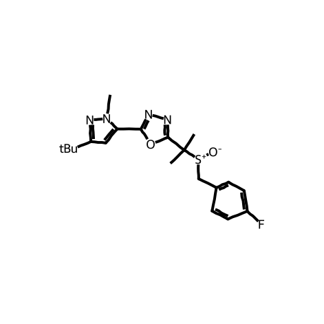 Cn1nc(C(C)(C)C)cc1-c1nnc(C(C)(C)[S+]([O-])Cc2ccc(F)cc2)o1